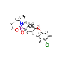 CC(C)C1CCCOP(=O)(c2ccc(Oc3ccc(Cl)cc3)cc2)N1CC(=O)O